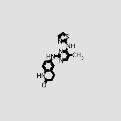 Cc1cnc(Nc2ccc3c(c2)CCC(=O)N3)nc1Nc1nccs1